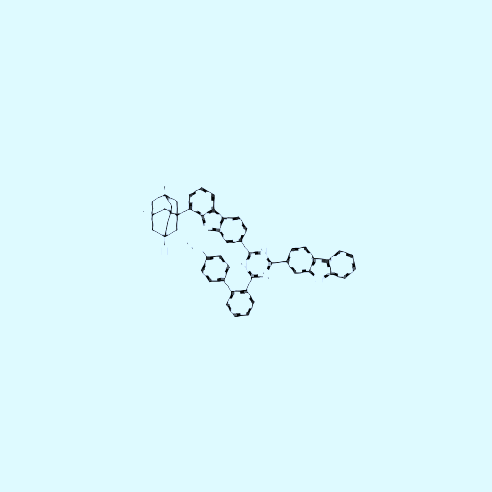 N#Cc1ccc(-c2ccccc2-c2nc(-c3ccc4c(c3)oc3ccccc34)nc(-c3ccc4c(c3)oc3c(C56C[C@H]7C[C@@H](C5)C[C@@H](C6)C7)cccc34)n2)cc1